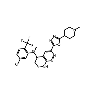 C[C@H](c1cc(Cl)ccc1C(F)(F)F)N1CCNc2nnc(-c3nnc(C4CCN(C)CC4)o3)cc21